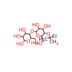 CCC(C)(C)OC1C(CO)OC(OC2C(CO)OC(O)C(O)C2O)C(O)C1O